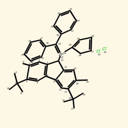 Cc1cc2c(cc1C(C)(C)C)-c1cc(C(C)(C)C)c(C)cc1[CH]2[Zr+2]([C]1=CC=CC1)=[C](c1ccccc1)c1ccccc1.[Cl-].[Cl-]